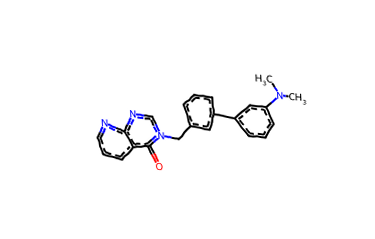 CN(C)c1cccc(-c2cccc(Cn3cnc4ncccc4c3=O)c2)c1